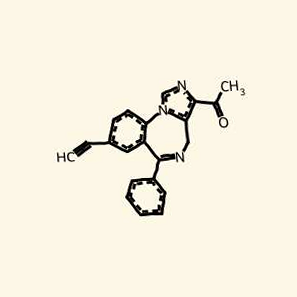 C#Cc1ccc2c(c1)C(c1ccccc1)=NCc1c(C(C)=O)ncn1-2